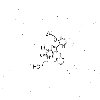 CCn1c(=O)n(CCCO)c(=O)c2c1nc(-c1nccnc1OCC1CC1)n2Cc1ccccc1